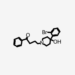 O=C(CCCN1CCC(O)(c2ccccc2Br)CC1)c1ccccc1